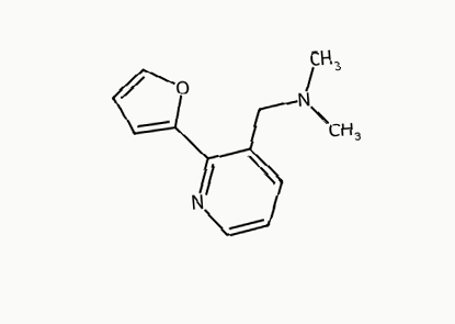 CN(C)Cc1cccnc1-c1ccco1